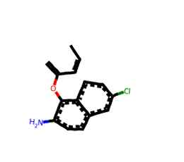 C=C(/C=C\C)Oc1c(N)ccc2cc(Cl)ccc12